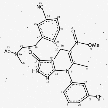 COC(=O)C1=C(C)N(c2cccc(C(F)(F)F)c2)c2n[nH]c(=O)n2[C@@H]1c1ccc(C#N)cc1CCN(C)C(C)=O